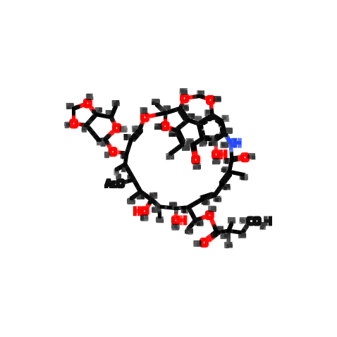 CC(=O)OC1C(C)C(OC2CC3OCOC3C(C)O2)/C=C/OC2(C)OC3=C(C)C(=O)c4c(O)c(cc5c4C3=C2OCO5)NC(=O)/C(C)=C\C=C\C(C(C)OC(=O)C(C)(C)CC(=O)O)C(O)C(C)C(O)C1C